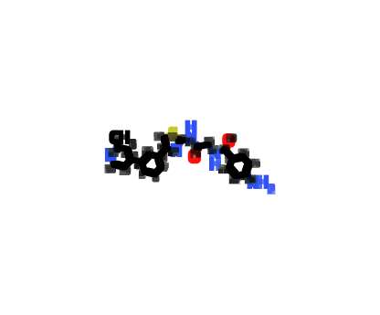 Cc1cc(-c2cccc(-c3csc(NC(=O)CNC(=O)c4ccc(N)cc4)n3)c2)ccn1